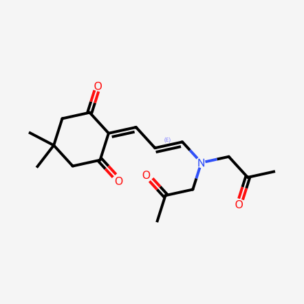 CC(=O)CN(/C=C/C=C1C(=O)CC(C)(C)CC1=O)CC(C)=O